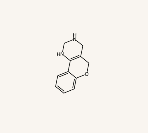 c1ccc2c(c1)OCC1=C2NCNC1